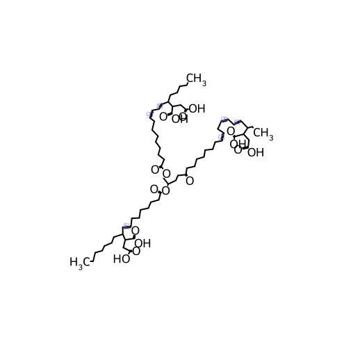 CCCCCCCC(/C=C/CCCCCCC(=O)OC(CCC(=O)CCCCCCC/C=C\C/C=C\C=C\C(CC)C(CC(=O)O)C(=O)O)COC(=O)CCCCCCC/C=C\C=C\C(CCCCC)C(CC(=O)O)C(=O)O)C(CC(=O)O)C(=O)O